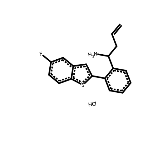 C=CCC(N)c1ccccc1-c1cc2cc(F)ccc2s1.Cl